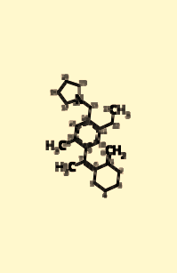 C=C1CCCC/C1=C(\C)c1cc(CC)c(CN2CCCC2)cc1C